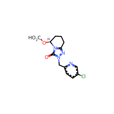 O=C(O)O[C@H]1CCCc2nn(Cc3ccc(Cl)cn3)c(=O)n21